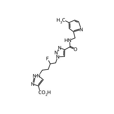 Cc1ccnc(CNC(=O)c2cn(CC(F)CCn3cc(C(=O)O)nn3)nn2)c1